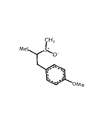 COc1ccc(CC(SC)[S+](C)[O-])cc1